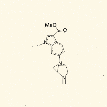 COC(=O)c1cn(C)c2cc(N3CC4CC3CN4)ccc12